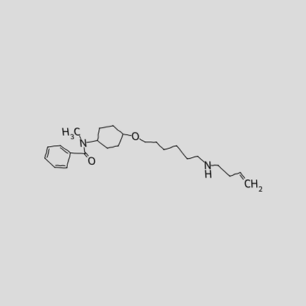 C=CCCNCCCCCCOC1CCC(N(C)C(=O)c2ccccc2)CC1